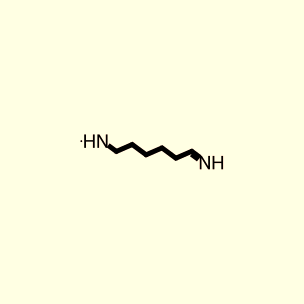 [NH]CCCCCC=N